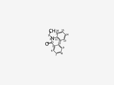 CCN(C(=O)c1cc[c]cc1)c1ccccc1